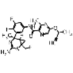 C#C[C@H](C)Oc1cnc(C(=O)Nc2cc(F)c(F)c([C@@]3(C)N=C(N)S[C@@]4(CF)C[C@H]43)c2)c(C)n1